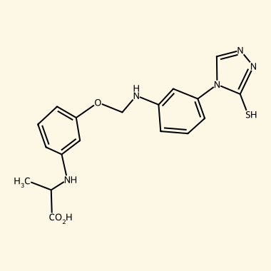 CC(Nc1cccc(OCNc2cccc(-n3cnnc3S)c2)c1)C(=O)O